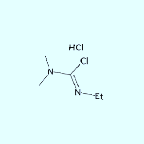 CCN=C(Cl)N(C)C.Cl